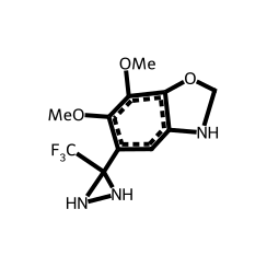 COc1c(C2(C(F)(F)F)NN2)cc2c(c1OC)OCN2